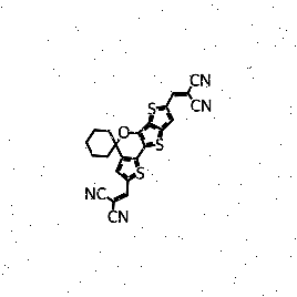 N#CC(C#N)=Cc1cc2c(s1)-c1sc3cc(C=C(C#N)C#N)sc3c1OC21CCCCC1